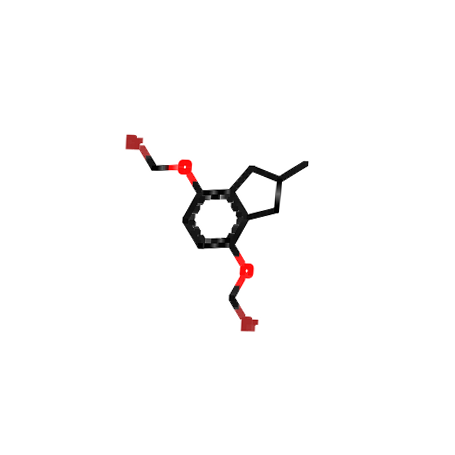 CC1Cc2c(OCBr)ccc(OCBr)c2C1